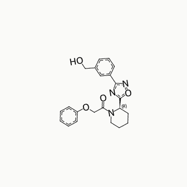 O=C(COc1ccccc1)N1CCCC[C@@H]1c1nc(-c2cccc(CO)c2)no1